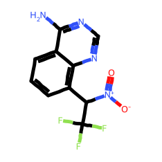 Nc1ncnc2c(C([N+](=O)[O-])C(F)(F)F)cccc12